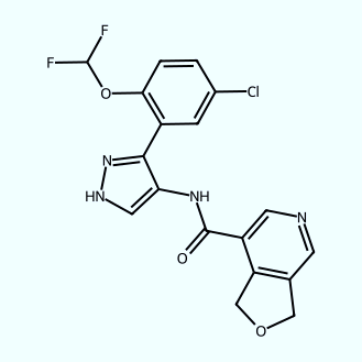 O=C(Nc1c[nH]nc1-c1cc(Cl)ccc1OC(F)F)c1cncc2c1COC2